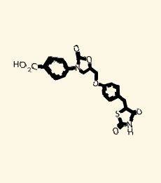 O=C1NC(=O)C(Cc2ccc(OCC3CN(c4ccc(C(=O)O)cc4)C(=O)O3)cc2)S1